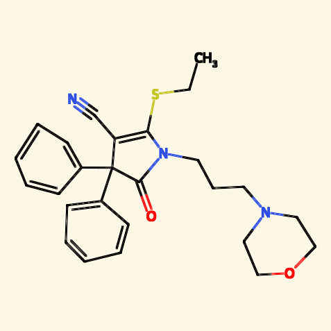 CCSC1=C(C#N)C(c2ccccc2)(c2ccccc2)C(=O)N1CCCN1CCOCC1